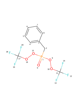 O=P(Cc1ccccc1)(OOC(F)(F)F)OOC(F)(F)F